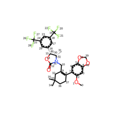 COc1cc2c(cc1C1=C(CN3C(=O)O[C@H](c4cc(C(F)(F)F)cc(C(F)(F)F)c4)[C@@H]3C)CC(C)(C)CC1)OCO2